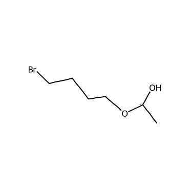 C[C](O)OCCCCBr